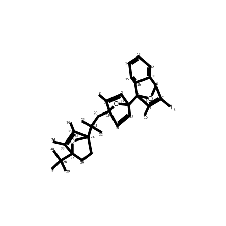 CC1=CC2(C34OC(C(I)=C3C)c3ccccc34)C=CC1(CC(C)(C)C13CCC(C(C)(C)C)(O1)C(C)=C3C)O2